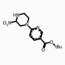 CC(C)(C)OC(=O)c1ccc(N2CCNC([N+](=O)[O-])C2)nc1